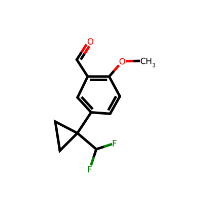 COc1ccc(C2(C(F)F)CC2)cc1C=O